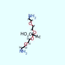 CC(=O)C(OCCOCCN)(OCCOCCN)C(=O)O